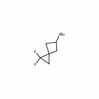 CC(C)(C)C1CC2(C1)CC2(F)F